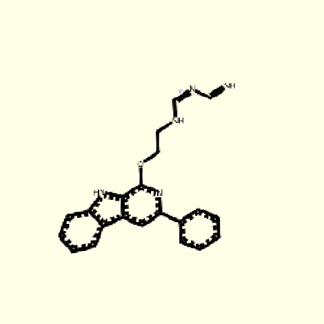 N=C/N=C\NCCOc1nc(-c2ccccc2)cc2c1[nH]c1ccccc12